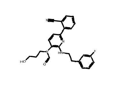 N#Cc1ccccc1-c1ccc(N(C=O)CCCO)c(NCCc2cccc(F)c2)n1